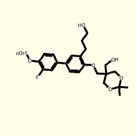 CCCCCCCCOc1ccc(-c2ccc(OCC3(CO)COC(C)(C)OC3)c(CCCO)c2)cc1F